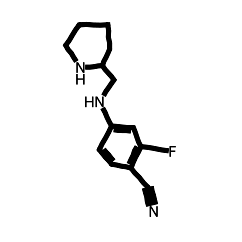 N#Cc1ccc(NCC2CCCCN2)cc1F